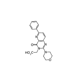 O=C(O)Cn1c(N2CCOCC2)nc2ccc(-c3ccccc3)nc2c1=O